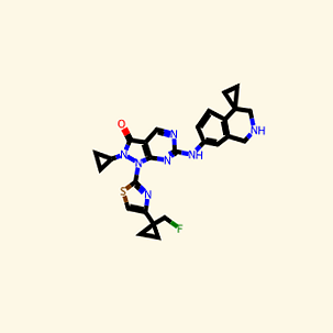 O=c1c2cnc(Nc3ccc4c(c3)CNCC43CC3)nc2n(-c2nc(C3(CF)CC3)cs2)n1C1CC1